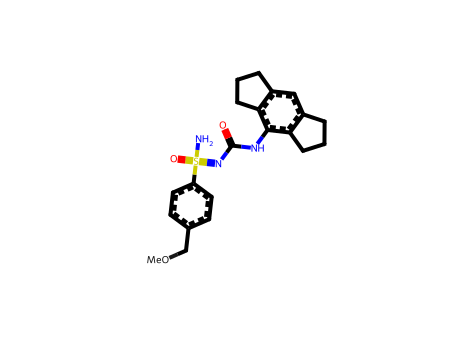 COCc1ccc(S(N)(=O)=NC(=O)Nc2c3c(cc4c2CCC4)CCC3)cc1